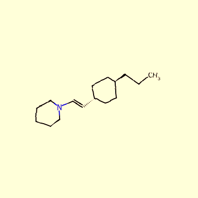 CCC[C@H]1CC[C@H](C=CN2CCCCC2)CC1